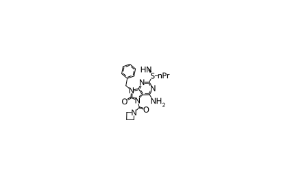 CCCS(=N)c1nc(N)c2c(n1)n(Cc1ccccc1)c(=O)n2C(=O)N1CCC1